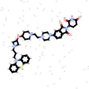 O=C1CCC(N2C(=O)c3ccc(N4CCN(CCN5CCC(OC6CN(CCCN7c8ccccc8Sc8ccccc87)C6)CC5)CC4)cc3C2=O)C(=O)N1